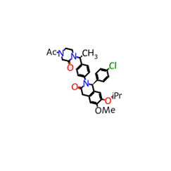 COc1cc2c(cc1OC(C)C)[C@H](c1ccc(Cl)cc1)N(c1ccc([C@H](C)N3CCN(C(C)=O)CC3=O)cc1)C(=O)C2